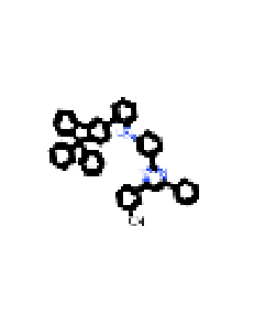 N#Cc1cccc(-c2cc(C3=CC=CCC3)nc(-c3cccc(Nc4ccccc4-c4ccc5c(c4)-c4ccccc4C5(c4ccccc4)c4ccccc4)c3)n2)c1